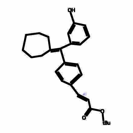 CC(C)(C)OC(=O)/C=C/c1ccc(C(=C2CCCCCC2)c2cccc(O)c2)cc1